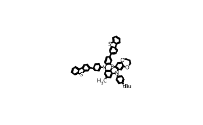 Cc1cc2c3c(c1)N(c1ccc(C(C)(C)C)cc1)c1cc4c(cc1B3c1cc(-c3ccc5c(c3)sc3ccccc35)ccc1N2c1ccc(-c2ccc3c(c2)sc2ccccc23)cc1)OCCCO4